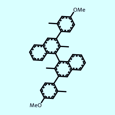 COc1ccc(-c2cc3ccccc3c(-c3c(C)c(-c4ccc(OC)cc4C)cc4ccccc34)c2C)c(C)c1